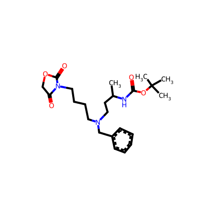 CC(CCN(CCCCN1C(=O)COC1=O)Cc1ccccc1)NC(=O)OC(C)(C)C